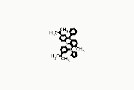 CC1CC=C2B(c3ccccc3)c3cc(C(C)C)ccc3N3C2=C1B(C1C=CC=C1)c1cc(C(C)C)ccc13